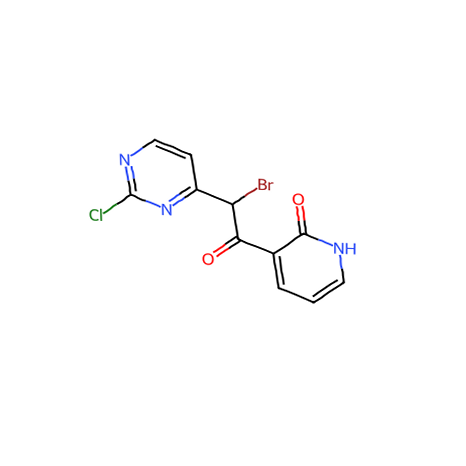 O=C(c1ccc[nH]c1=O)C(Br)c1ccnc(Cl)n1